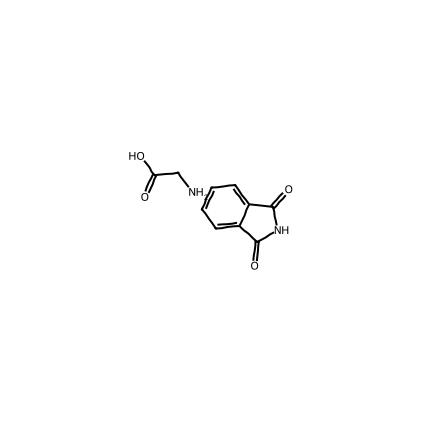 NCC(=O)O.O=C1NC(=O)c2ccccc21